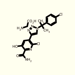 CC(C)(c1ccc(Cl)cc1)n1cc(-c2cc(O)c(C(N)=O)nc2Cl)nn1.NCC(=O)O